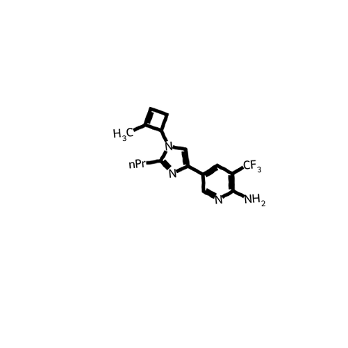 CCCc1nc(-c2cnc(N)c(C(F)(F)F)c2)cn1C1CC=C1C